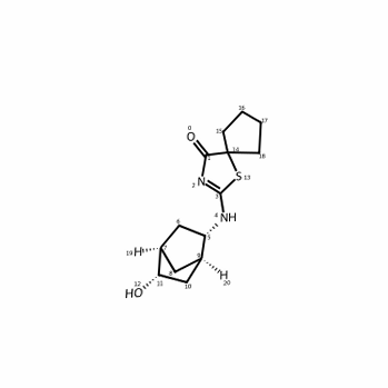 O=C1N=C(N[C@H]2C[C@H]3C[C@@H]2C[C@@H]3O)SC12CCCC2